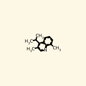 Cc1cnc2c(C)cccc2c1C(C)C